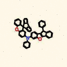 c1ccc(C2c3ccccc3-c3oc4cc(N(c5ccccc5)c5ccc6c(c5)C5(c7ccccc7O6)c6ccccc6-c6ccccc65)ccc4c32)cc1